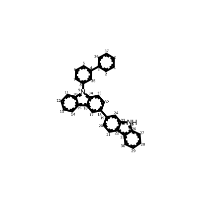 c1ccc(-c2cccc(-n3c4ccccc4c4cc(-c5ccc6c(c5)[nH]c5ccccc56)ccc43)c2)cc1